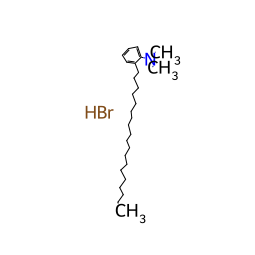 Br.CCCCCCCCCCCCCCCCCCCc1ccccc1N(C)C